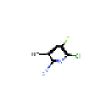 N#Cc1cc(F)c(Cl)nc1N